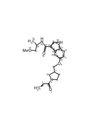 C=CC(=O)N1CCC(COc2cnc3[nH]cc(C(=O)NC(C)COC)c3n2)C1